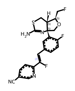 N#Cc1ccc(/C(F)=C/c2ccc(F)c([C@]34CO[C@H](CF)[C@H]3CSC(N)=N4)c2)nc1